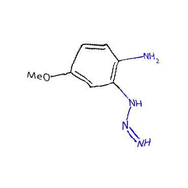 COc1ccc(N)c(NN=N)c1